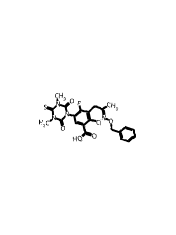 CC(Cc1c(F)c(-n2c(=O)n(C)c(=S)n(C)c2=O)cc(C(=O)O)c1Cl)=NOCc1ccccc1